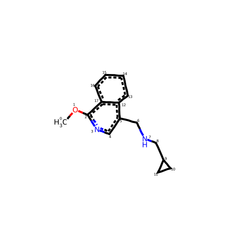 COc1ncc(CNCC2CC2)c2ccccc12